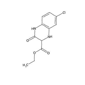 CCOC(=O)C1Nc2cc(Cl)ccc2NC1=O